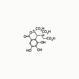 O=C(O)C[C@@H](C(=O)O)C1c2c(cc(O)c(O)c2O)C(=O)O[C@@H]1C(=O)O